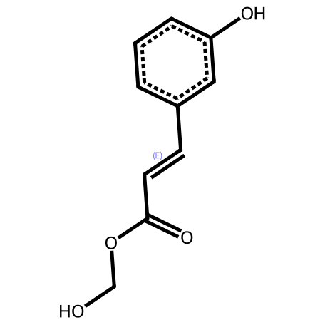 O=C(/C=C/c1cccc(O)c1)OCO